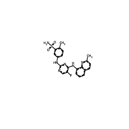 Cc1ccc2cccc(Nc3nc(Nc4ccc(C)c(S(N)(=O)=O)c4)ncc3F)c2n1